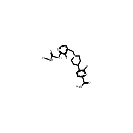 CCNC(=O)Nc1nccc(CN2CCC(c3ccc(C(=O)NC)nc3F)CC2)c1F